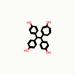 OC1=CC=C(C(c2ccc(O)cc2)C(c2ccc(O)cc2)c2ccc(O)cc2)CC=C1